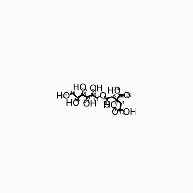 O=C(O)CC(O)(CC(=O)OC[C@@H](O)[C@@H](O)[C@H](O)[C@H](O)CO)C(=O)O